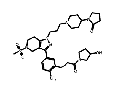 CS(=O)(=O)N1CCc2c(c(-c3ccc(C(F)(F)F)c(SCC(=O)N4CCC(O)C4)c3)nn2CCCN2CCC(N3CCCC3=O)CC2)C1